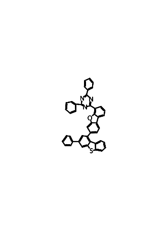 c1ccc(-c2cc(-c3ccc4c(c3)oc3c(-c5nc(-c6ccccc6)nc(-c6ccccc6)n5)cccc34)c3c(c2)sc2ccccc23)cc1